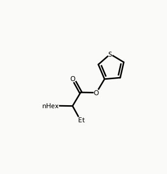 CCCCCCC(CC)C(=O)Oc1ccsc1